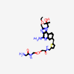 CCOCc1nc2c(N)nc3cc(Cc4ccc(CNC(=O)COCNC(=O)CN)s4)ccc3c2n1CC(C)(C)O